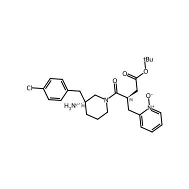 CC(C)(C)OC(=O)C[C@@H](Cc1cccc[n+]1[O-])C(=O)N1CCC[C@@](N)(Cc2ccc(Cl)cc2)C1